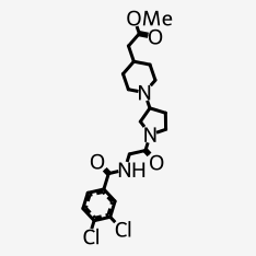 COC(=O)CC1CCN(C2CCN(C(=O)CNC(=O)c3ccc(Cl)c(Cl)c3)C2)CC1